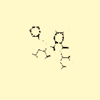 Cc1cc(C(=O)NC(CC(C)C)C(=O)O)c(C(=O)N(SSc2ccccc2)C(CC(C)C)C(=O)O)cc1C